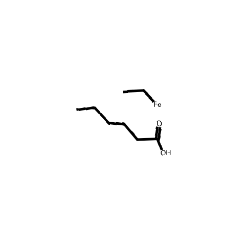 CCCCCC(=O)O.C[CH2][Fe]